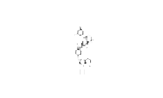 CC1(C)CC[C@@H](c2cc(Cl)cc(Cl)c2)N(CC(=O)Nc2ccc3c(c2)C[C@@]2(C3)C(=O)Nc3ncccc32)C1=O